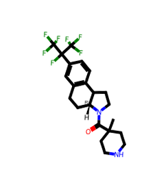 CC1(C(=O)N2CCC3c4ccc(C(F)(C(F)(F)F)C(F)(F)F)cc4CC[C@H]32)CCNCC1